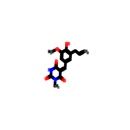 C=CCc1cc(/C=C2\C(=O)NC(=O)N(C)C2=O)cc(OC)c1O